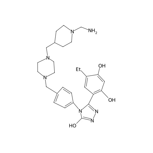 CCc1cc(-c2nnc(O)n2-c2ccc(CN3CCN(CC4CCN(CN)CC4)CC3)cc2)c(O)cc1O